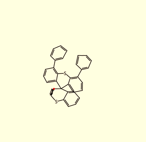 c1ccc(-c2cccc3c2Sc2c(-c4ccccc4)cccc2C32c3ccccc3Sc3ccccc32)cc1